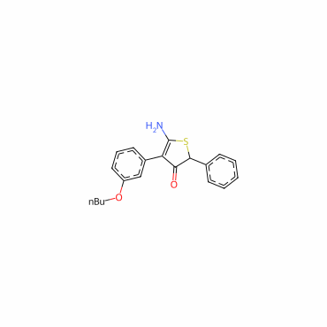 CCCCOc1cccc(C2=C(N)SC(c3ccccc3)C2=O)c1